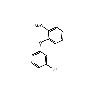 COc1ccccc1Oc1cccc(O)c1